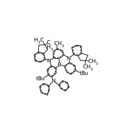 Cc1cc2c3c(c1)N(c1cccc4c1CC(C)(C)C4)c1cc(C(C)(C)C)c(N(c4ccccc4)c4ccccc4)cc1B3c1ccc(C(C)(C)C)cc1N2c1cccc2c1CC(C)(C)C2